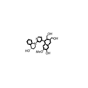 COc1cc2c(-c3ccnc(N4CC[C@H](O)c5ccccc54)c3)c(CO)c(CO)cc2cc1O